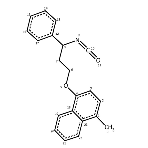 Cc1ccc(OCCC(N=C=O)c2ccccc2)c2ccccc12